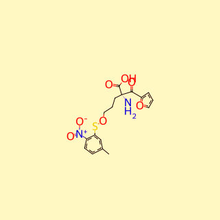 Cc1ccc([N+](=O)[O-])c(SOCCC[C@@](N)(C(=O)O)C(=O)c2ccco2)c1